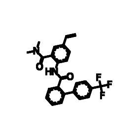 C=Cc1ccc(NC(=O)c2ccccc2-c2ccc(C(F)(F)F)cc2)c(C(=O)N(C)C)c1